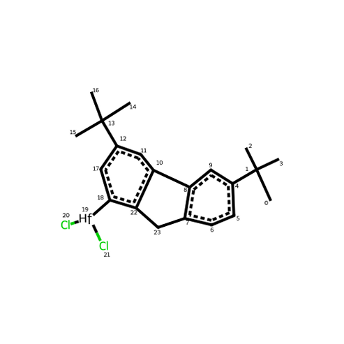 CC(C)(C)c1ccc2c(c1)-c1cc(C(C)(C)C)c[c]([Hf]([Cl])[Cl])c1C2